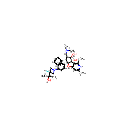 COc1cc2c(c(OC)n1)[C@]1(O)[C@H](O)[C@H](CN(C)C)[C@@H](c3ccccc3)[C@]1(c1ccc(N3CC(F)(C(C)(C)O)C3)cc1)O2